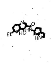 CCc1ccc2ncc(C(=O)Nc3ccc4cc[nH]c4c3)c(O)c2c1